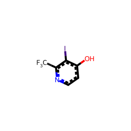 Oc1ccnc(C(F)(F)F)c1I